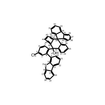 OC1(c2ccc(Cl)cc2-c2cccc3c2sc2ccccc23)c2ccccc2C2(c3ccccc3-c3ccccc32)c2ccccc21